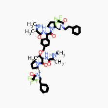 CN[C@@H](C)C(=O)NC(C(=O)N1CCC[C@H]1CN(CCc1ccccc1)C(=O)C(F)(F)F)c1ccc(CO[C@H](C)[C@H](NC(=O)[C@H](C)NC)C(=O)N2CCC[C@H]2CN(CCc2ccccc2)C(=O)C(F)(F)F)cc1